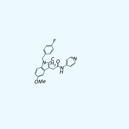 COc1ccc2c(c1)c(CC(=O)Nc1ccncc1)c(C)n2Cc1ccc(F)cc1